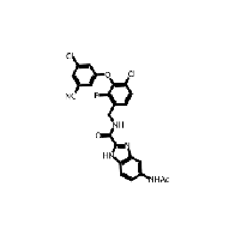 CC(=O)Nc1ccc2[nH]c(C(=O)NCc3ccc(Cl)c(Oc4cc(Cl)cc(C#N)c4)c3F)nc2c1